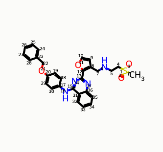 CS(=O)(=O)CCNCc1ccoc1-c1nc(Nc2ccc(OCc3ccccc3)cc2)c2ccccc2n1